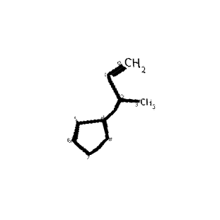 C=CC(C)C1CCCC1